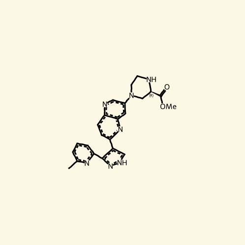 COC(=O)[C@H]1CN(c2cnc3ccc(-c4c[nH]nc4-c4cccc(C)n4)nc3c2)CCN1